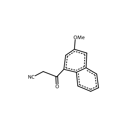 COc1cc(C(=O)CC#N)c2ccccc2c1